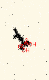 C=C(CO)C(=O)OCC(CCC)(CCC1CCC(c2ccc(CCCCC)c(CC)c2)CC1)COC(=O)C(=C)CO